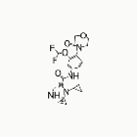 NC[C@H](C(=O)Nc1ccc(N2CCOCC2=O)c(OC(F)F)c1)N(C1CC1)C1CC1